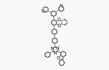 C1=CC2Oc3c(-c4ccc(-c5ccc(-c6nc(-c7ccccc7)nc(-c7cccc8c7oc7ccccc78)n6)cc5)cc4)ccc(-c4cc(-c5cccnc5)cc(-c5cccnc5)c4)c3OC2C=C1